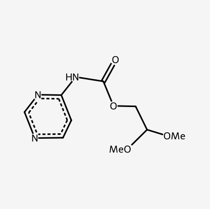 COC(COC(=O)Nc1ccncn1)OC